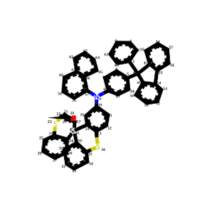 c1ccc(C2(c3ccc(N(c4ccc5c(c4)[Si]4(c6ccccc6Sc6ccccc64)c4ccccc4S5)c4cccc5ccccc45)cc3)c3ccccc3-c3ccccc32)cc1